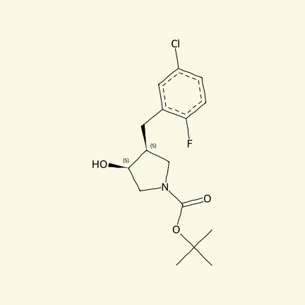 CC(C)(C)OC(=O)N1C[C@H](Cc2cc(Cl)ccc2F)[C@H](O)C1